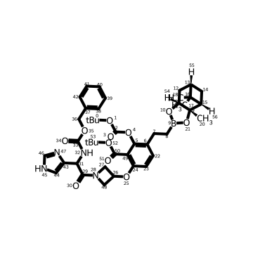 CC(C)(C)OC(=O)Oc1c(CCB2O[C@@H]3C[C@@H]4C[C@@H](C4(C)C)[C@]3(C)O2)ccc(OC2CN(C(=O)C(NC(=O)OCc3ccccc3)c3c[nH]cn3)C2)c1C(=O)OC(C)(C)C